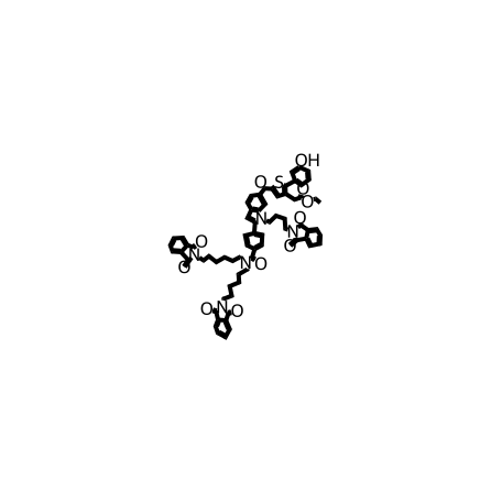 CCOC(=O)Cc1cc(C(=O)c2ccc3cc(-c4ccc(C(=O)N(CCCCCCN5C(=O)c6ccccc6C5=O)CCCCCCN5C(=O)c6ccccc6C5=O)cc4)n(CCCCN4C(=O)c5ccccc5C4=O)c3c2)sc1-c1cccc(O)c1